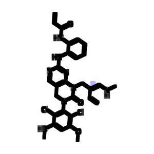 C=CC(=O)Nc1ccccc1Nc1ncc2c(n1)N(C/C(C=C)=C/NC)C(=O)N(c1c(Cl)c(BC)cc(OC)c1Cl)C2